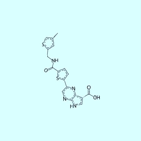 Cc1csc(CNC(=O)c2ccc(-c3cnc4[nH]cc(C(=O)O)c4n3)s2)c1